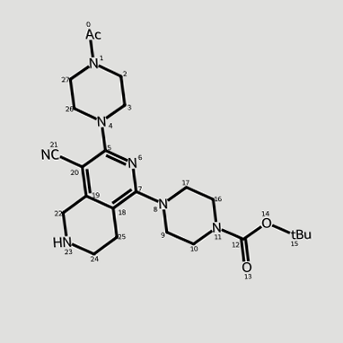 CC(=O)N1CCN(c2nc(N3CCN(C(=O)OC(C)(C)C)CC3)c3c(c2C#N)CNCC3)CC1